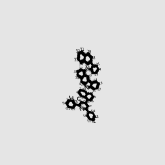 CC1C(C2=C3C=CC=C(n4c5ccccc5c5cc6c(-n7c8ccccc8c8ccc9ccccc9c87)cccc6cc54)C3CC=C2)=CC(C2C=CC=CC2)=NC1C1=CC=CCC1